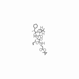 C=CCC[C@H](NC(=O)[C@@H]1[C@@H]2[C@H](CN1C(=O)[C@@H](C)C1CCCCC1)C2(C)C)C(=O)C(=O)NCCC(=O)OC1(C)CC1